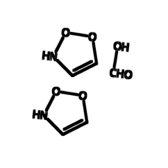 C1=COON1.C1=COON1.O=CO